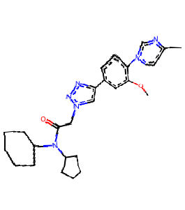 COc1cc(-c2cn(CC(=O)N(C3CCCCC3)C3CCCC3)nn2)ccc1-n1cnc(C)c1